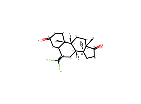 C[C@]12CCC(=O)CC1C(=C(F)F)C[C@@H]1[C@H]2CC[C@]2(C)C(=O)CC[C@@H]12